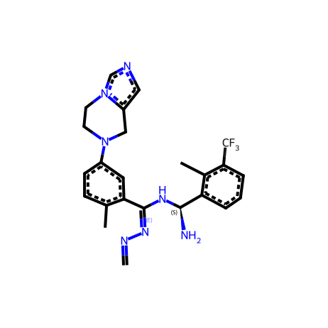 C=N/N=C(/N[C@H](N)c1cccc(C(F)(F)F)c1C)c1cc(N2CCn3cncc3C2)ccc1C